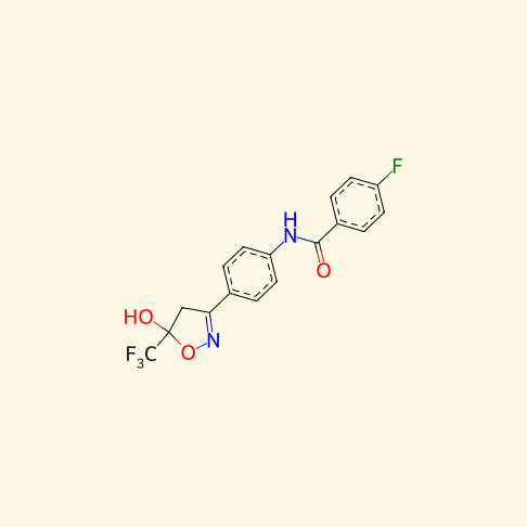 O=C(Nc1ccc(C2=NOC(O)(C(F)(F)F)C2)cc1)c1ccc(F)cc1